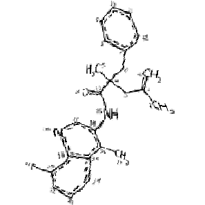 C=C(C)CC(C)(Cc1ccccc1)C(=O)Nc1cnc2c(F)cccc2c1C